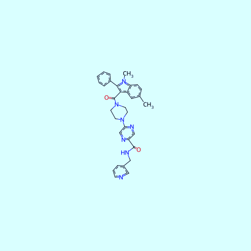 Cc1ccc2c(c1)c(C(=O)N1CCN(c3cnc(C(=O)NCc4cccnc4)cn3)CC1)c(-c1ccccc1)n2C